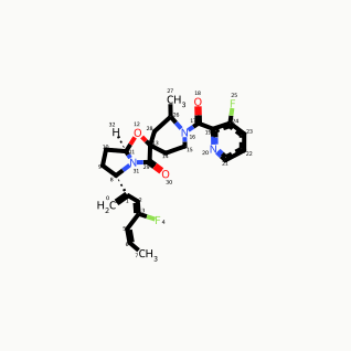 C=C(/C=C(F)\C=C/C)[C@@H]1CC[C@H]2OC3(CCN(C(=O)c4ncccc4F)C(C)C3)C(=O)N21